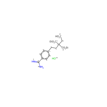 CCOC(=O)C(CCc1ccc(C(=N)N)cc1)(CC(=O)O)C(=O)OCC.Cl